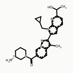 Cc1c(-c2cc3ccc(C(C)O)nc3n2CC2CC2)nn2cc(C(=O)N3CCC[C@@H](N)C3)ccc12